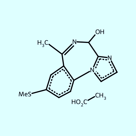 CC(=O)O.CSc1ccc2c(c1)C(C)=NC(O)c1nccn1-2